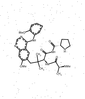 CN[C@@H](C)C(=O)N[C@H](C(=O)NC(=O)[C@@H]1CCCN1)C(C)(C)Cc1cc2c(Nc3ccccc3OC)ncnc2cc1OC